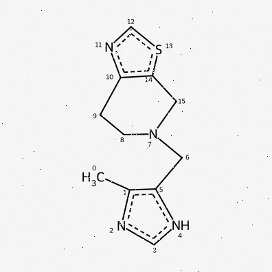 Cc1nc[nH]c1CN1CCc2n[c]sc2C1